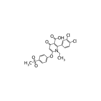 CCn1c(Oc2ccc(S(C)(=O)=O)cc2)cc(=O)c(C(=O)O)c1-c1ccc(Cl)c(Cl)c1